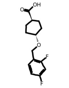 O=C(O)[C@H]1CC[C@H](OCc2ccc(F)cc2F)CC1